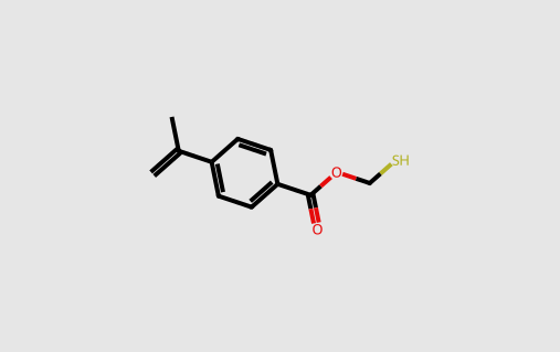 C=C(C)c1ccc(C(=O)OCS)cc1